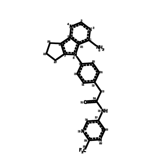 Nc1ncnc2c3c(n(-c4ccc(CC(=O)Nc5cnc(C(F)(F)F)nc5)cc4)c12)CCC3